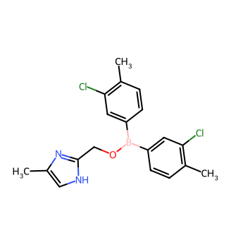 Cc1c[nH]c(COB(c2ccc(C)c(Cl)c2)c2ccc(C)c(Cl)c2)n1